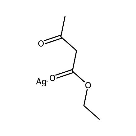 CCOC(=O)CC(C)=O.[Ag]